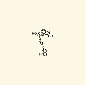 O=C(N[C@@H](CCO[C@H]1C[C@@H](CCc2ccc3c(n2)NCCC3)C1)C(=O)O)c1cc(O)ncc1Br